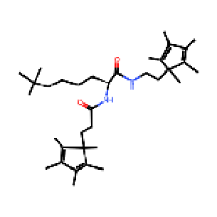 CC1=C(C)C(C)(CCNC(=O)[C@H](CCCCC(C)(C)C)NC(=O)CCC2(C)C(C)=C(C)C(C)=C2C)C(C)=C1C